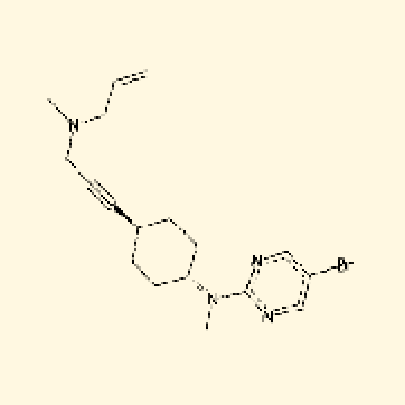 C=CCN(C)CC#C[C@H]1CC[C@H](N(C)c2ncc(Br)cn2)CC1